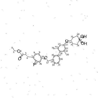 CCOC(=O)CCc1ccc(OCc2cccc(-c3c(C)cc(OC4CCS(O)(O)CC4)cc3C)c2)cc1F